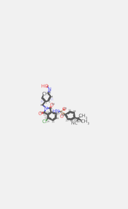 C\C=C(/C=C\C=N\O)CN1C(=O)c2c(Cl)ccc(NS(=O)(=O)c3ccc(C(C)(C)C#N)cc3)c2C1=O